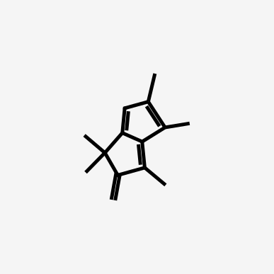 C=C1C(C)=C2C(=CC(C)=C2C)C1(C)C